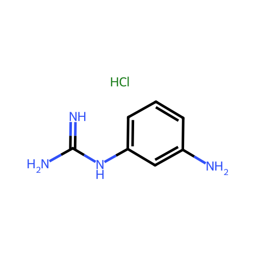 Cl.N=C(N)Nc1cccc(N)c1